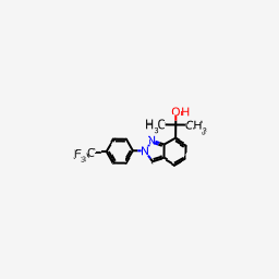 CC(C)(O)c1cccc2cn(-c3ccc(C(F)(F)F)cc3)nc12